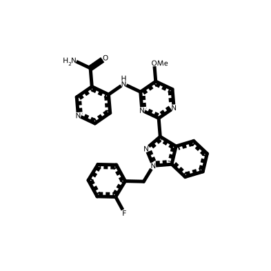 COc1cnc(-c2nn(Cc3ccccc3F)c3ccccc23)nc1Nc1ccncc1C(N)=O